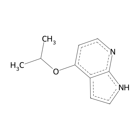 CC(C)Oc1ccnc2[nH]ccc12